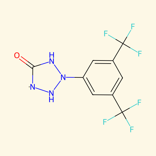 O=C1[N]NN(c2cc(C(F)(F)F)cc(C(F)(F)F)c2)N1